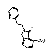 O=C(O)c1cccc2c1C(=O)N(CCc1ccccn1)C2